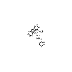 Cl.c1ccc(CNCCCC23CC(c4ccccc42)c2ccccc23)cc1